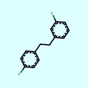 Fc1ccc(C[CH]c2cccc(F)c2)cc1